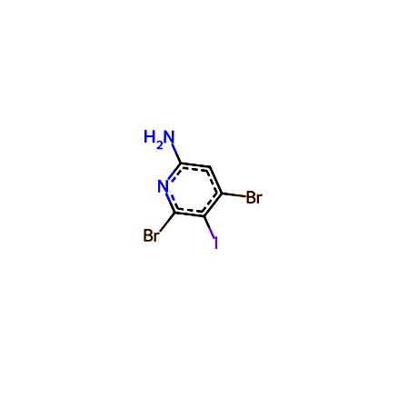 Nc1cc(Br)c(I)c(Br)n1